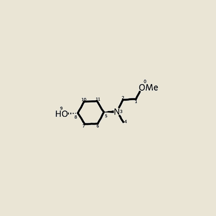 COCCN(C)[C@H]1CC[C@H](O)CC1